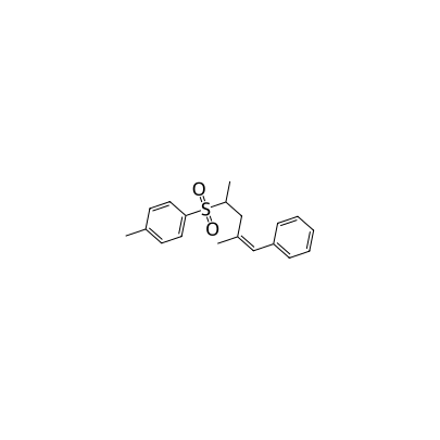 CC(=Cc1ccccc1)CC(C)S(=O)(=O)c1ccc(C)cc1